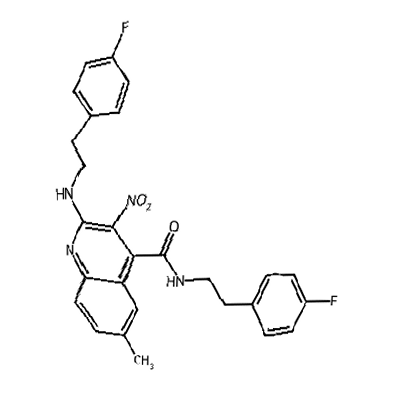 Cc1ccc2nc(NCCc3ccc(F)cc3)c([N+](=O)[O-])c(C(=O)NCCc3ccc(F)cc3)c2c1